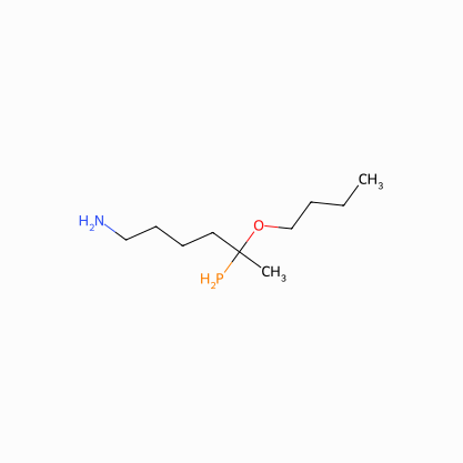 CCCCOC(C)(P)CCCCN